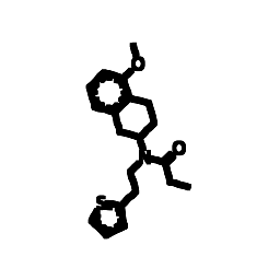 CCC(=O)N(CCc1cccs1)C1CCc2c(cccc2OC)C1